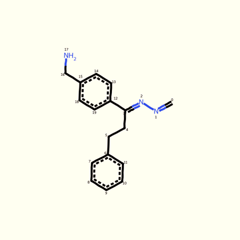 C=N/N=C(\CCc1ccccc1)c1ccc(CN)cc1